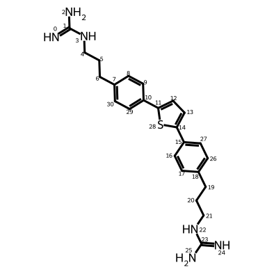 N=C(N)NCCCc1ccc(-c2ccc(-c3ccc(CCCNC(=N)N)cc3)s2)cc1